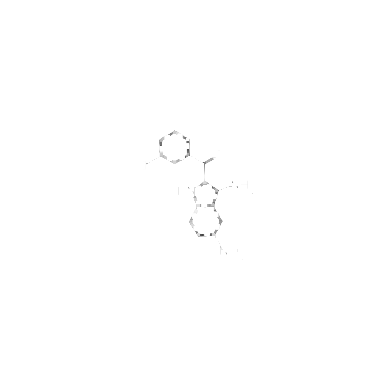 Nc1c(C(=O)c2cccc(Cl)c2)[nH]c2ccc([N+](=O)[O-])cc12